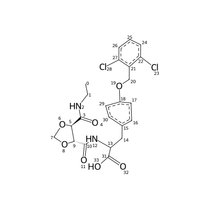 CCNC(=O)[C@@H]1OCO[C@H]1C(=O)NC(Cc1ccc(OCc2c(Cl)cccc2Cl)cc1)C(=O)O